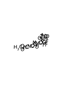 COC(=O)N1CCN(c2ccc3c(=O)n(-c4ccc(OC(F)(F)F)c(NC(=O)C5(N6CCOCC6)CC5)c4)cnc3c2)CC1